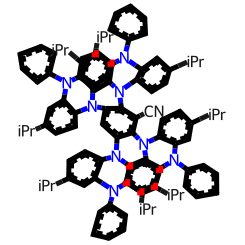 CC(C)c1ccc2c(c1)N(c1ccccc1)c1cc(C(C)C)ccc1N2c1cc(N2c3ccc(C(C)C)cc3N(c3ccccc3)c3cc(C(C)C)ccc32)c(N2c3ccc(C(C)C)cc3N(c3ccccc3)c3cc(C(C)C)ccc32)c(C#N)c1N1c2ccc(C(C)C)cc2N(c2ccccc2)c2cc(C(C)C)ccc21